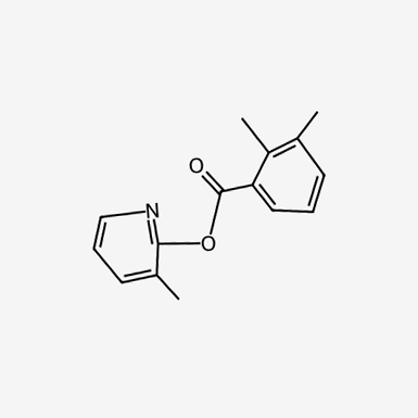 Cc1cccnc1OC(=O)c1cccc(C)c1C